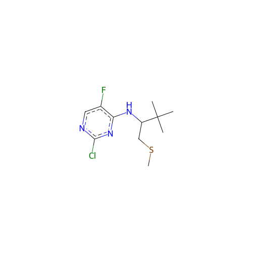 CSCC(Nc1nc(Cl)ncc1F)C(C)(C)C